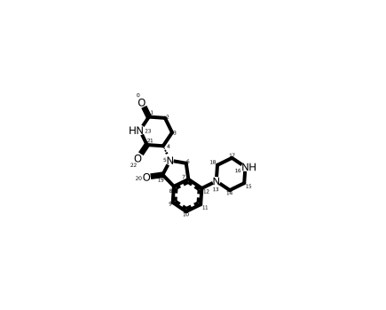 O=C1CC[C@H](N2Cc3c(cccc3N3CCNCC3)C2=O)C(=O)N1